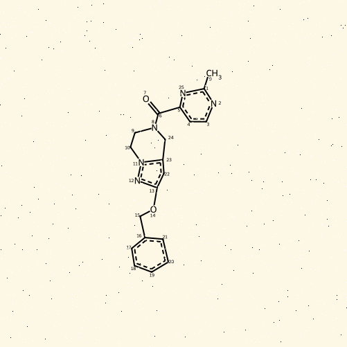 Cc1nccc(C(=O)N2CCn3nc(OCc4ccccc4)cc3C2)n1